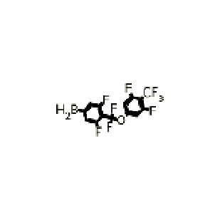 Bc1cc(F)c(C(F)(F)Oc2cc(F)c(C(F)(F)F)c(F)c2)c(F)c1